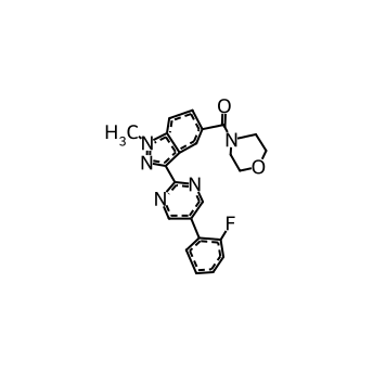 Cn1nc(-c2ncc(-c3ccccc3F)cn2)c2cc(C(=O)N3CCOCC3)ccc21